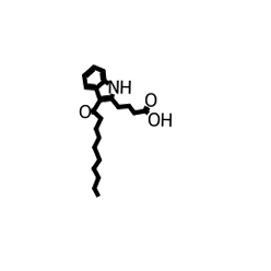 CCCCCCCCCC(=O)c1c(CCCC(=O)O)[nH]c2ccccc12